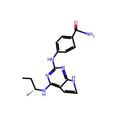 CC[C@@H](C)Nc1nc(Nc2ccc(C(N)=O)cc2)nc2[nH]ccc12